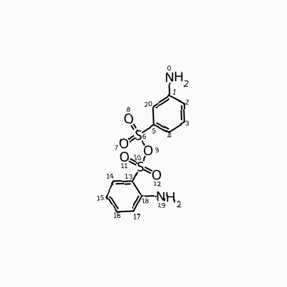 Nc1cccc(S(=O)(=O)OS(=O)(=O)c2ccccc2N)c1